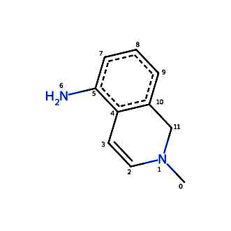 CN1C=Cc2c(N)cccc2C1